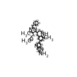 COCCc1c(C)nc(CN2CCCC2)nc1C1CCNc2c(C)cc(-c3cnc4sc(N)nc4c3)cc2C1